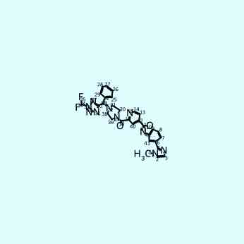 Cn1ccnc1-c1ccc2oc(-c3ccnc(C(=O)N4CCN([C@H](c5ccccc5)c5nnn(C(F)F)n5)CC4)c3)nc2c1